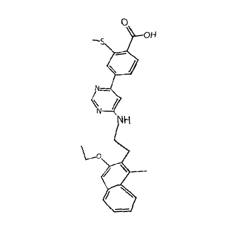 CCOc1cc2ccccc2c(C)c1CCNc1cc(-c2ccc(C(=O)O)c(SC)c2)ncn1